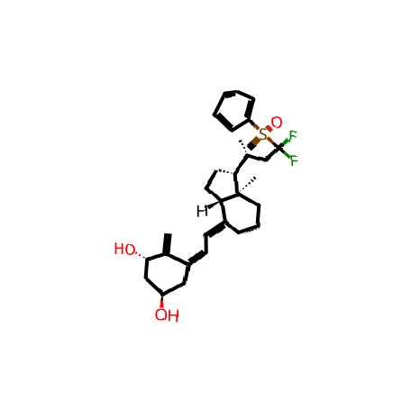 C=C1/C(=C\C=C2/CCC[C@]3(C)[C@@H]([C@H](C)CC(F)(F)S(=C)(=O)c4ccccc4)CC[C@@H]23)C[C@@H](O)C[C@@H]1O